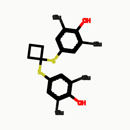 CC(C)(C)c1cc(SC2(Sc3cc(C(C)(C)C)c(O)c(C(C)(C)C)c3)CCC2)cc(C(C)(C)C)c1O